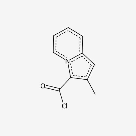 Cc1cc2ccccn2c1C(=O)Cl